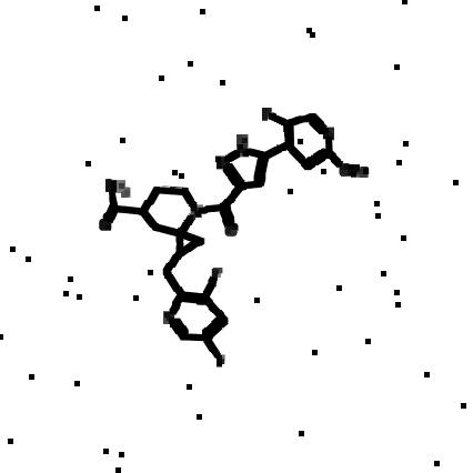 COc1cc(-c2cc(C(=O)N3CCC(C(N)=O)CC34CC4Cc3ncc(F)cc3F)n[nH]2)c(F)cn1